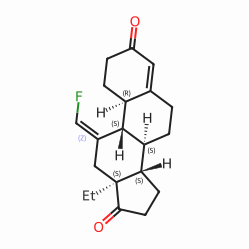 CC[C@]12C/C(=C/F)[C@H]3[C@@H](CCC4=CC(=O)CC[C@@H]43)[C@@H]1CCC2=O